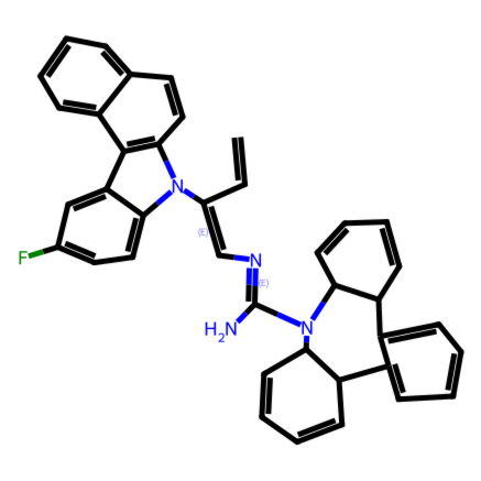 C=C/C(=C\N=C(/N)N1C2C=CC=CC2c2ccccc2C2C=CC=CC21)n1c2ccc(F)cc2c2c3ccccc3ccc21